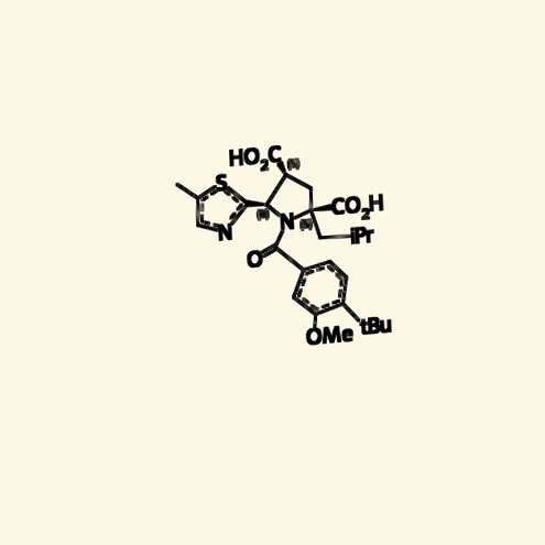 COc1cc(C(=O)N2[C@@H](c3ncc(C)s3)[C@@H](C(=O)O)C[C@@]2(CC(C)C)C(=O)O)ccc1C(C)(C)C